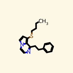 CCCCSc1ccn2ccnc(CCc3ccccc3)c12